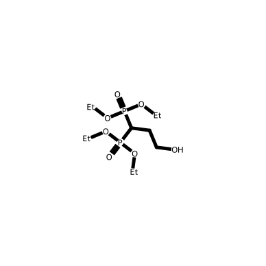 CCOP(=O)(OCC)C(CCO)P(=O)(OCC)OCC